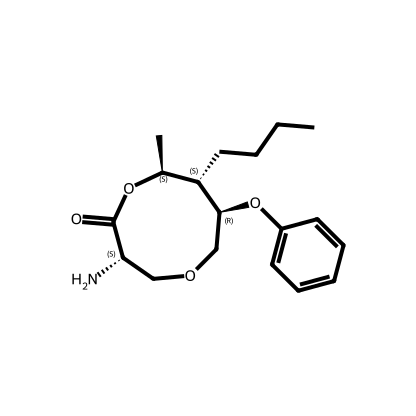 CCCC[C@H]1[C@H](C)OC(=O)[C@@H](N)COC[C@@H]1Oc1ccccc1